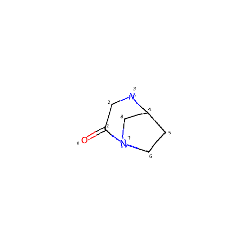 O=C1C[N]C2CCN1C2